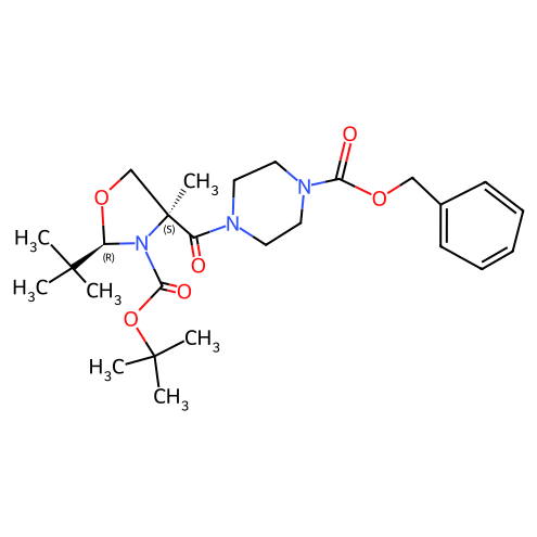 CC(C)(C)OC(=O)N1[C@@H](C(C)(C)C)OC[C@@]1(C)C(=O)N1CCN(C(=O)OCc2ccccc2)CC1